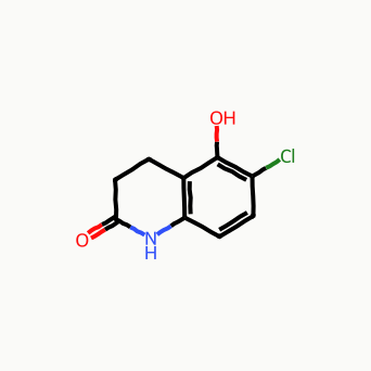 O=C1CCc2c(ccc(Cl)c2O)N1